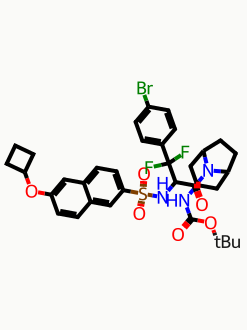 CC(C)(C)OC(=O)NC1CC2CCC(C1)N2C(=O)C(NS(=O)(=O)c1ccc2cc(OC3CCC3)ccc2c1)C(F)(F)c1ccc(Br)cc1